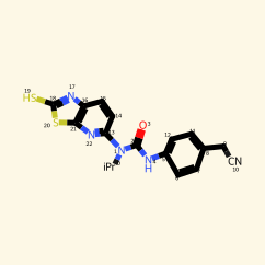 CC(C)N(C(=O)Nc1ccc(CC#N)cc1)c1ccc2nc(S)sc2n1